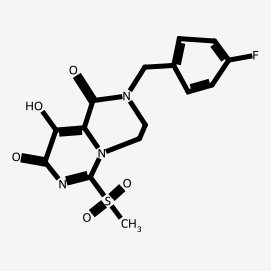 CS(=O)(=O)c1nc(=O)c(O)c2n1CCN(Cc1ccc(F)cc1)C2=O